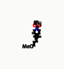 COCCCC1CC2(CCN(C(=O)OC(C)(C)C)CC2)C1